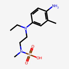 CCN(CCN(C)S(=O)(=O)O)c1ccc(N)c(C)c1